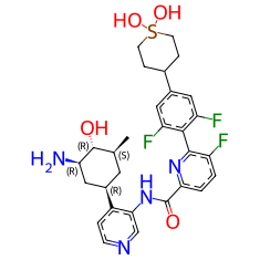 C[C@H]1C[C@@H](c2ccncc2NC(=O)c2ccc(F)c(-c3c(F)cc(C4CCS(O)(O)CC4)cc3F)n2)C[C@@H](N)[C@@H]1O